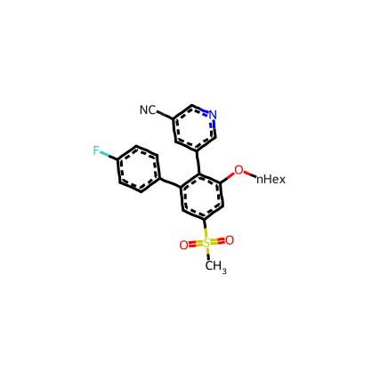 CCCCCCOc1cc(S(C)(=O)=O)cc(-c2ccc(F)cc2)c1-c1cncc(C#N)c1